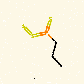 CCCP(=S)=S=S